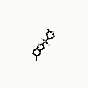 Cc1ccc2sc(S(=O)(=O)c3cn[nH]c(=O)c3)cc2c1